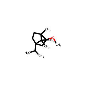 COC1CC2(C(C)C)CCC1(C)C2(C)C